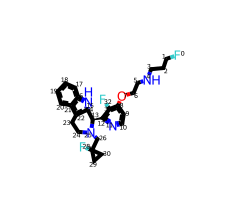 FCCCNCCOc1ccnc([C@@H]2c3[nH]c4ccccc4c3CCN2CC2(F)CC2)c1F